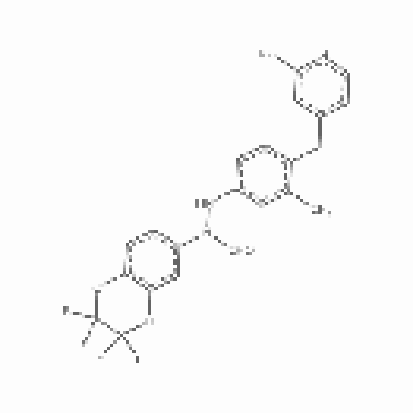 Cc1cc(NN(C=O)c2ccc3c(c2)OC(F)(F)C(F)(F)O3)ccc1Cc1ccnc(C#N)c1